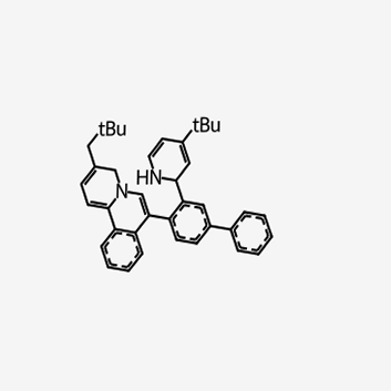 CC(C)(C)CC1=CC=C2c3ccccc3C(c3ccc(-c4ccccc4)cc3C3C=C(C(C)(C)C)C=CN3)=CN2C1